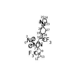 CN(C)S(=O)(=O)n1cc(CC2(C(F)(F)F)CC2)nc1C=C(c1ccc(-n2cccn2)cc1)C(F)(F)F